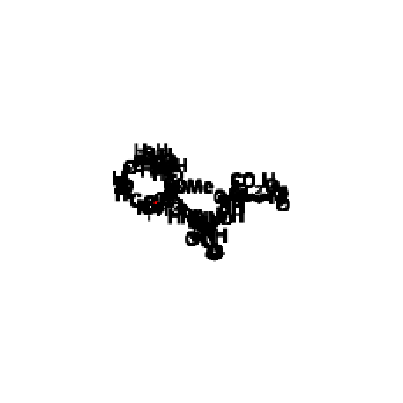 C=C1C[C@@H]2CC[C@@]34C[C@H]5OC6C(O[C@H]7CC[C@H](CC(=O)C[C@@H]8[C@@H](OC)[C@@H](C[C@H](O)CNC(=O)CNC(=O)[C@H](Cc9ccccc9)NC(=O)CNC(=O)CNC(=O)C(CCC(=O)O)NC(=O)CCCCCN9C(=O)C=CC9=O)O[C@H]8C[C@H]8O[C@@H](CC[C@@H]1O2)C[C@@H](C)C8=C)O[C@@H]7[C@@H]6O3)[C@H]5O4